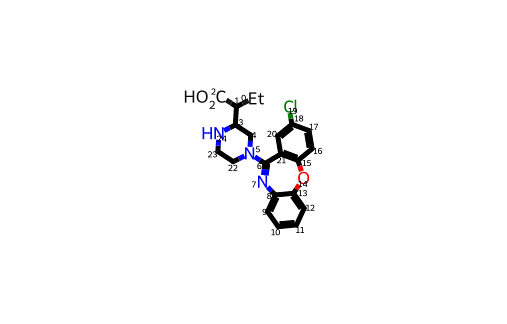 CCC(C(=O)O)C1CN(C2=Nc3ccccc3Oc3ccc(Cl)cc32)CCN1